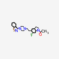 CC(=O)N1CCc2cc(CCN3CCN(c4nsc5ccccc45)CC3)c(F)cc21